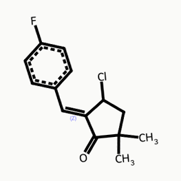 CC1(C)CC(Cl)/C(=C\c2ccc(F)cc2)C1=O